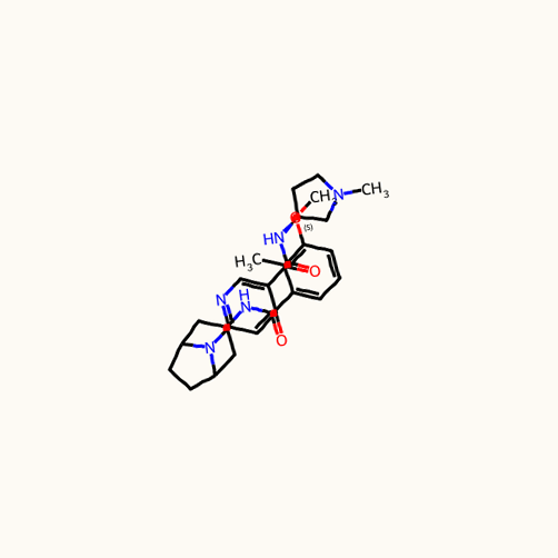 COc1cccc(C(=O)NC2CC3CCC(C2)N3c2ccc(C(=O)N[C@H]3CCN(C)C3)cn2)c1C